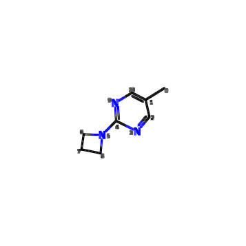 Cc1cnc(N2CCC2)nc1